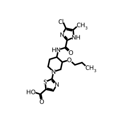 CCCOC1CN(c2ncc(C(=O)O)s2)CCC1NC(=O)c1nc(Cl)c(C)[nH]1